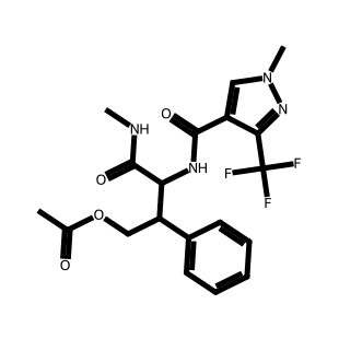 CNC(=O)C(NC(=O)c1cn(C)nc1C(F)(F)F)C(COC(C)=O)c1ccccc1